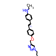 CCNc1ccc(/C=C/c2ccc(OCc3cn(CCF)nn3)cc2)cc1